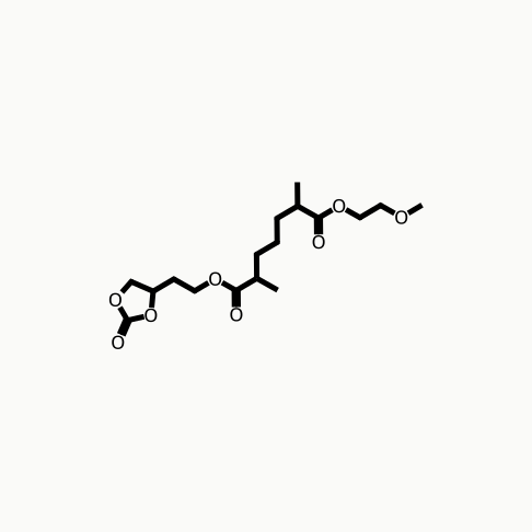 COCCOC(=O)C(C)CCCC(C)C(=O)OCCC1COC(=O)O1